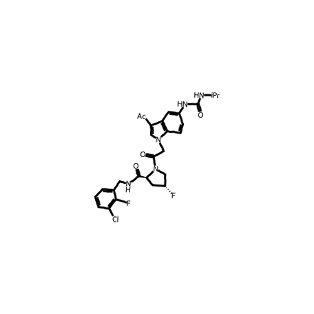 CC(=O)c1cn(CC(=O)N2C[C@H](F)C[C@H]2C(=O)NCc2cccc(Cl)c2F)c2ccc(NC(=O)NC(C)C)cc12